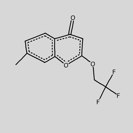 Cc1ccc2c(=O)cc(OCC(F)(F)F)oc2c1